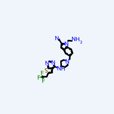 N#Cc1cc2cc(CN3CCC(Nc4ncnc5sc(CC(F)(F)F)cc45)CC3)ccc2n1CCN